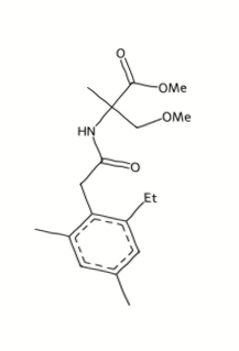 CCc1cc(C)cc(C)c1CC(=O)NC(C)(COC)C(=O)OC